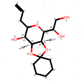 C=CCC1O[C@@H]([C@H](O)CO)[C@H]2OC3(CCCCC3)O[C@H]2[C@H]1O